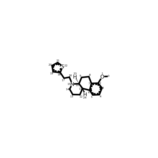 COc1cccc2c1CC[C@H]1[C@H]2CCCN1CCc1cccs1